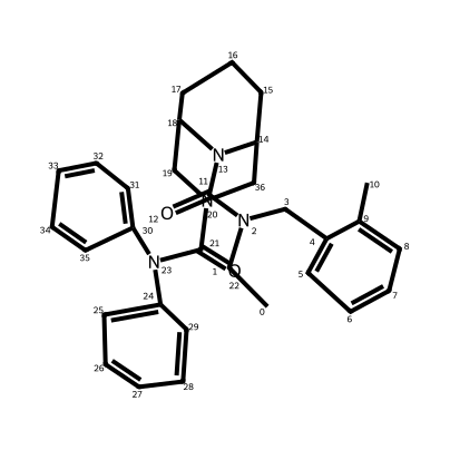 CCN(Cc1ccccc1C)C(=O)N1C2CCCC1CN(C(=O)N(c1ccccc1)c1ccccc1)C2